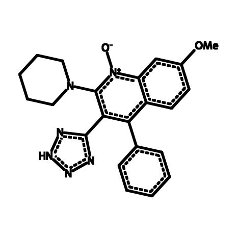 COc1ccc2c(-c3ccccc3)c(-c3nn[nH]n3)c(N3CCCCC3)[n+]([O-])c2c1